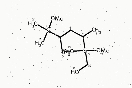 CO[Si](C)(C)C(C)CC(C)[Si](CO)(OC)OC